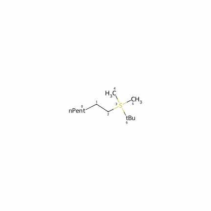 CCCCCCCS(C)(C)C(C)(C)C